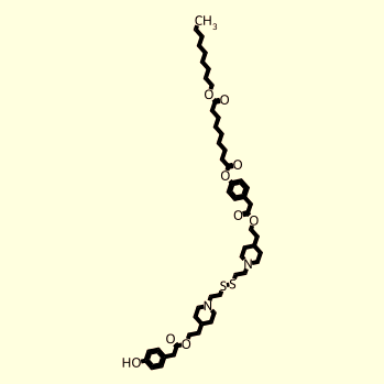 CCCCCCCCCOC(=O)CCCCCCCC(=O)Oc1ccc(CC(=O)OCCC2CCN(CCSSCCN3CCC(CCOC(=O)Cc4ccc(O)cc4)CC3)CC2)cc1